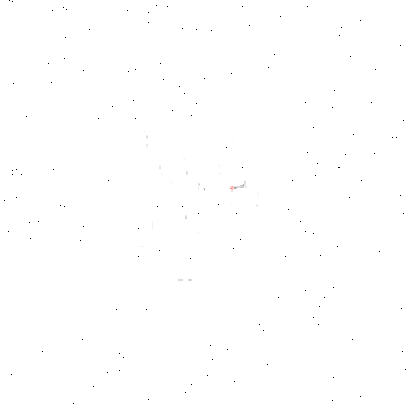 CC1(C)c2ccccc2-c2cc(-c3ccc4c(c3)CCCC4)c(N(c3ccc(-c4ccccc4)cc3)c3cccc4ccccc34)cc21